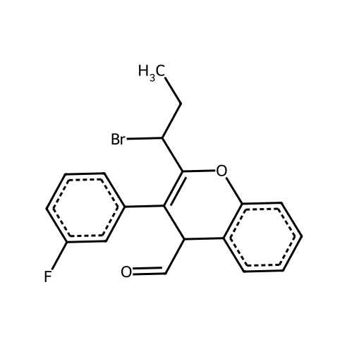 CCC(Br)C1=C(c2cccc(F)c2)C(C=O)c2ccccc2O1